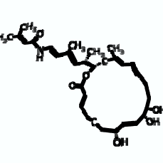 CC(C)=CC(=O)N/C=C/C(C)=C/[C@H](C)[C@@H]1C/C(C)=C/C=C/CC[C@@H](O)[C@H](O)/C=C/[C@H](O)CCC/C=C/C(=O)O1